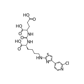 O=C(O)CCC(NC(=O)N[C@@H](CCCCNc1nc(-c2ccnc(Cl)c2)cs1)C(=O)O)C(=O)O